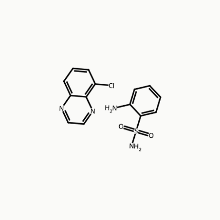 Clc1cccc2nccnc12.Nc1ccccc1S(N)(=O)=O